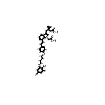 O=C(O)Cn1cc(CC2(CC(=O)O)CC2)c2cccc(C=Cc3ccc(OCCCCOc4cc(F)cc(F)c4Cl)cc3)c21